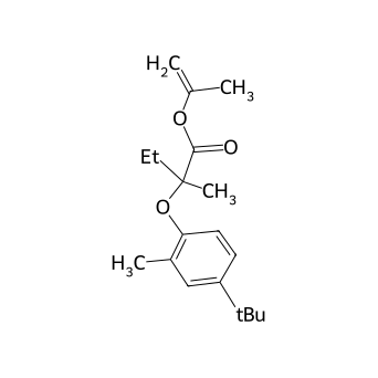 C=C(C)OC(=O)C(C)(CC)Oc1ccc(C(C)(C)C)cc1C